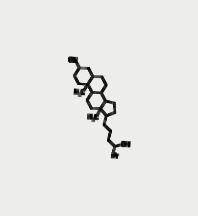 CC(C)C(O)CCCC1CCC2C3CCC4CC(N=O)CCC4(C)C3CCC12C